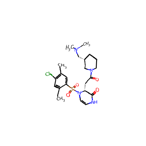 Cc1cc(S(=O)(=O)N2C=CNC(=O)[C@H]2CC(=O)N2CCC[C@@H](CN(C)C)C2)c(C)cc1Cl